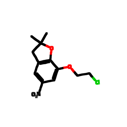 CC1(C)Cc2cc([N+](=O)[O-])cc(OCCCl)c2O1